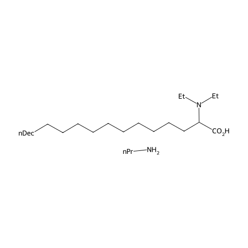 CCCCCCCCCCCCCCCCCCCCC(C(=O)O)N(CC)CC.CCCN